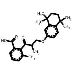 Cc1cccc(C(=O)O)c1C(=O)C(N)COc1ccc2c(c1)C(C)(C)CCC2(C)C